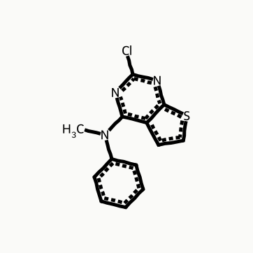 CN(c1ccccc1)c1nc(Cl)nc2sccc12